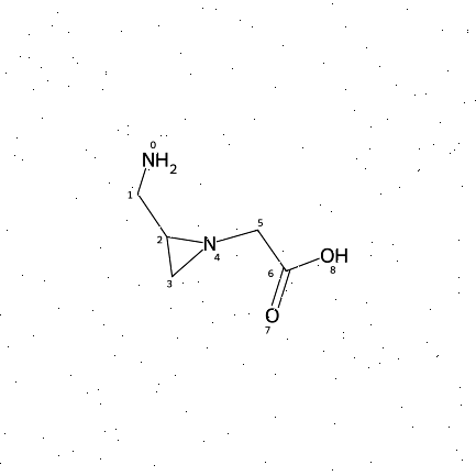 NCC1CN1CC(=O)O